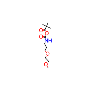 COCCOCCCNC(=O)OC(=O)C(C)(C)C